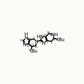 CC(C)(C)C1Cc2nc(N3Cc4[nH]cnc4C(C(C)(C)C)C3)[nH]c2CN1